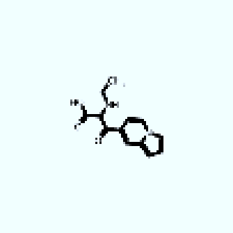 CCNC(C(=O)O)C(=O)c1ccn2cccc2c1